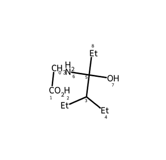 CC(=O)O.CCC(CC)C(N)(O)CC